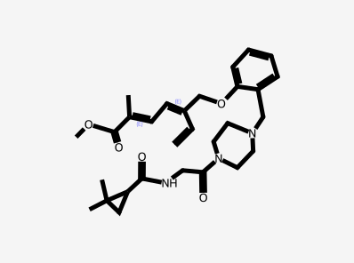 C=C/C(=C\C=C(/C)C(=O)OC)COc1ccccc1CN1CCN(C(=O)CNC(=O)C2CC2(C)C)CC1